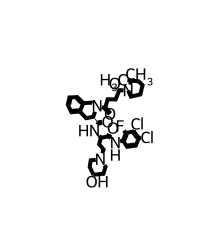 CC1(C)CCCCN1C(=O)CCC(=O)N1Cc2ccccc2C[C@H]1C(=O)NC(CCN1CCC(O)CC1)C(=O)Nc1ccc(Cl)c(Cl)c1F